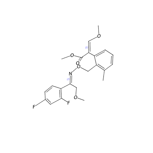 CO/C=C(/C(=O)OC)c1cccc(C)c1CO/N=C(\COC)c1ccc(F)cc1F